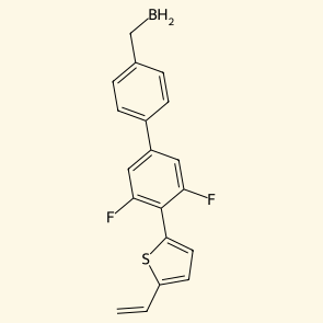 BCc1ccc(-c2cc(F)c(-c3ccc(C=C)s3)c(F)c2)cc1